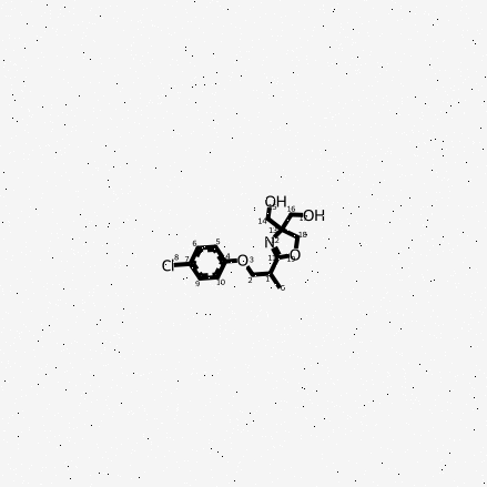 CC(COc1ccc(Cl)cc1)C1=NC(CO)(CO)CO1